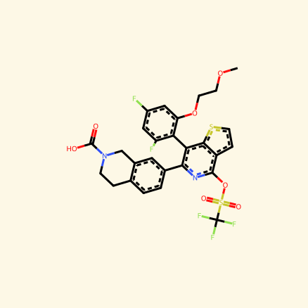 COCCOc1cc(F)cc(F)c1-c1c(-c2ccc3c(c2)CN(C(=O)O)CC3)nc(OS(=O)(=O)C(F)(F)F)c2ccsc12